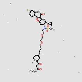 CNC(=O)c1c(-c2ccc(F)cc2)oc2cc(N(CCOCCOCCCCc3cccc(C(=O)CC(=O)C(=O)O)c3)S(C)(=O)=O)c(C3CC3)cc12